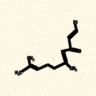 CC/C=C/C(=O)/C=C(\C)CCC=C(C)C